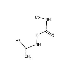 CCNC(=O)ONC(C)S